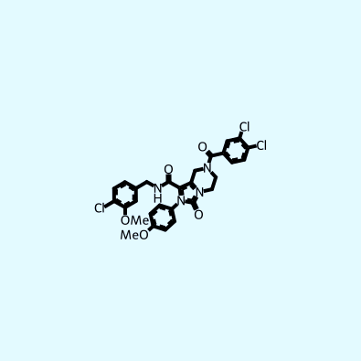 COc1ccc(-n2c(C(=O)NCc3ccc(Cl)c(OC)c3)c3n(c2=O)CCN(C(=O)c2ccc(Cl)c(Cl)c2)C3)cc1